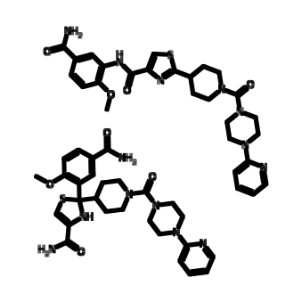 COc1ccc(C(N)=O)cc1C1(C2CCN(C(=O)N3CCN(c4ccccn4)CC3)CC2)NC(C(N)=O)=CS1.COc1ccc(C(N)=O)cc1NC(=O)c1csc(C2CCN(C(=O)N3CCN(c4ccccn4)CC3)CC2)n1